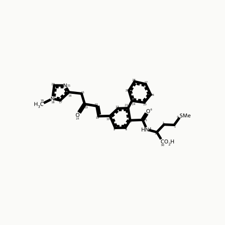 CSCCC(NC(=O)c1ccc(C=CC(=O)Cc2cn(C)cn2)cc1-c1ccccc1)C(=O)O